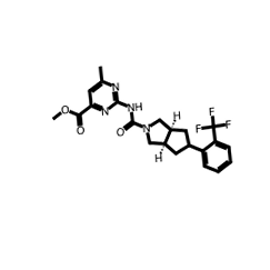 COC(=O)c1cc(C)nc(NC(=O)N2C[C@H]3CC(c4ccccc4C(F)(F)F)C[C@H]3C2)n1